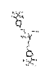 CCC(CCO)(CCOCc1ccc(C(=O)C(C)(C)O)cc1)CCOCc1ccc(C(=O)C(C)(C)O)cc1